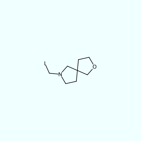 ICN1CCC2(CCOC2)C1